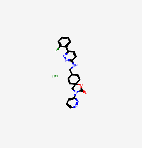 Cl.O=C1OC2(CCC(CNc3ccc(-c4ccccc4F)nn3)CC2)CN1c1cccnn1